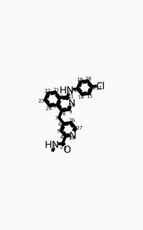 CNC(=O)c1cc(Cc2cnc(Nc3ccc(Cl)cc3)c3ccccc23)ccn1